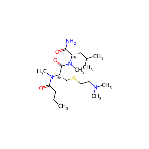 CCCC(=O)N(C)[C@@H](CSCCN(C)C)C(=O)N(C)[C@@H](CC(C)C)C(N)=O